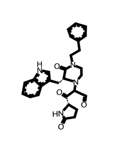 O=CC(C(=O)[C@@H]1CCC(=O)N1)N1CCN(CCc2ccccc2)C(=O)[C@H]1Cc1c[nH]c2ccccc12